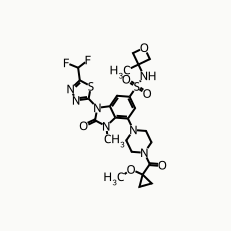 COC1(C(=O)N2CCN(c3cc(S(=O)(=O)NC4(C)COC4)cc4c3n(C)c(=O)n4-c3nnc(C(F)F)s3)CC2)CC1